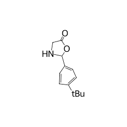 CC(C)(C)c1ccc(C2NCC(=O)O2)cc1